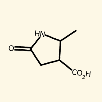 CC1NC(=O)CC1C(=O)O